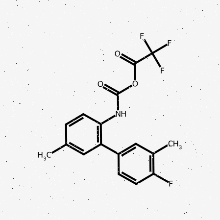 Cc1ccc(NC(=O)OC(=O)C(F)(F)F)c(-c2ccc(F)c(C)c2)c1